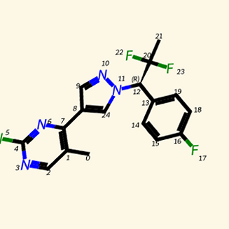 Cc1cnc(Cl)nc1-c1cnn([C@H](c2ccc(F)cc2)C(C)(F)F)c1